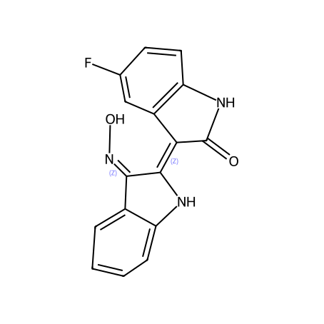 O=C1Nc2ccc(F)cc2/C1=C1/Nc2ccccc2/C1=N/O